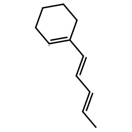 CC=CC=CC1=[C]CCCC1